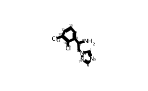 NC(Cn1cncn1)c1cccc(Cl)c1Cl